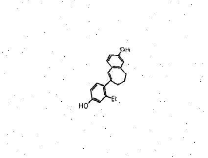 CCc1cc(O)ccc1C1=Cc2ccc(O)cc2CCC1